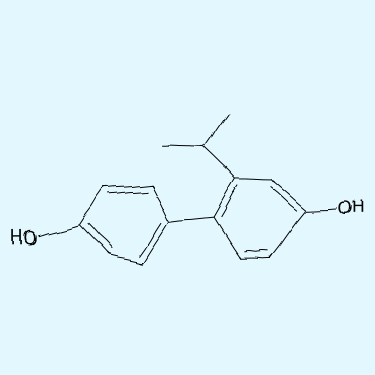 CC(C)c1cc(O)ccc1-c1ccc(O)cc1